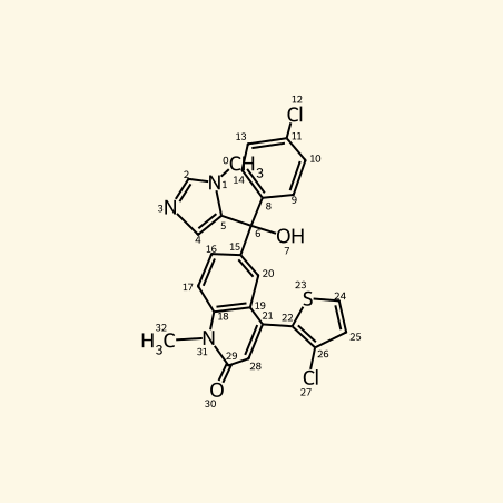 Cn1cncc1C(O)(c1ccc(Cl)cc1)c1ccc2c(c1)c(-c1sccc1Cl)cc(=O)n2C